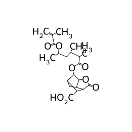 C=C(C)C(=O)OC(C)CC(C)C(C)C(=O)OC1C2CC3C1OC(=O)C3C2C(=O)O